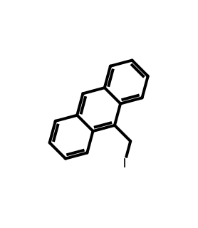 ICc1c2ccccc2cc2ccccc12